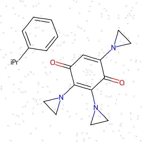 CC(C)c1ccccc1.O=C1C=C(N2CC2)C(=O)C(N2CC2)=C1N1CC1